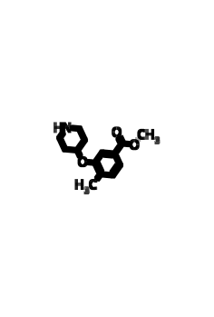 COC(=O)c1ccc(C)c(OC2CCNCC2)c1